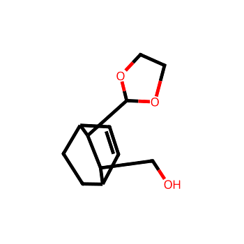 OCC1C2C=CC(CC2)C1C1OCCO1